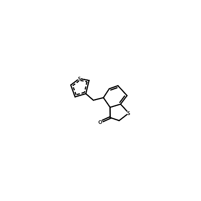 O=C1CSC2=CC=CC(Cc3ccsc3)C12